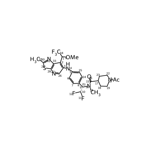 COC(c1c(Nc2ccc([C@@H](C(F)F)N(C)C(=O)C3CCN(C(C)=O)CC3)cc2)cnc2sc(C)nc12)C(F)(F)F